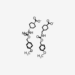 COc1ccc(COC(=O)NCC2CCC(C(=O)[O-])CC2)cc1.COc1ccc(COC(=O)NC[C@H]2CC[C@H](C(=O)[O-])CC2)cc1.[Mg+2]